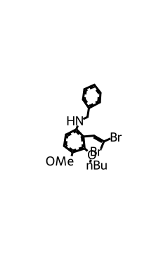 CCCCOc1c(OC)ccc(NCc2ccccc2)c1C=C(Br)Br